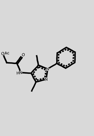 CC(=O)OCC(=O)Nc1c(C)nn(-c2ccccc2)c1C